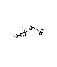 Cc1ncc(C(=O)NCCN2CCOCC23CCC3)cc1Nc1nn(C)c2c1cnn1cc(-c3cnn(C)c3)cc21